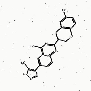 Cc1ccc2c(c1)CC(c1nc(O)c3cc(-c4cn[nH]c4C)ccc3n1)CO2